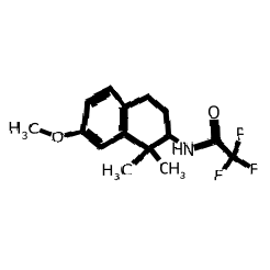 COc1ccc2c(c1)C(C)(C)C(NC(=O)C(F)(F)F)CC2